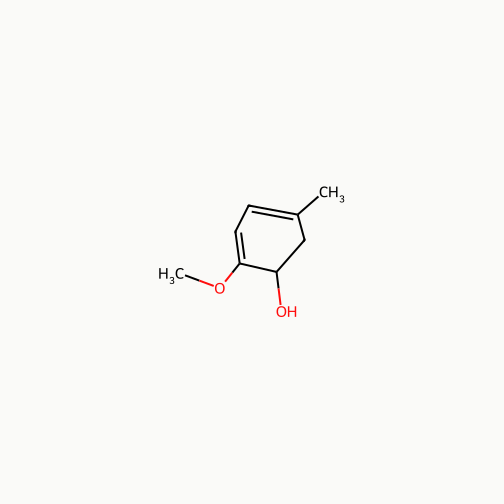 COC1=CC=C(C)CC1O